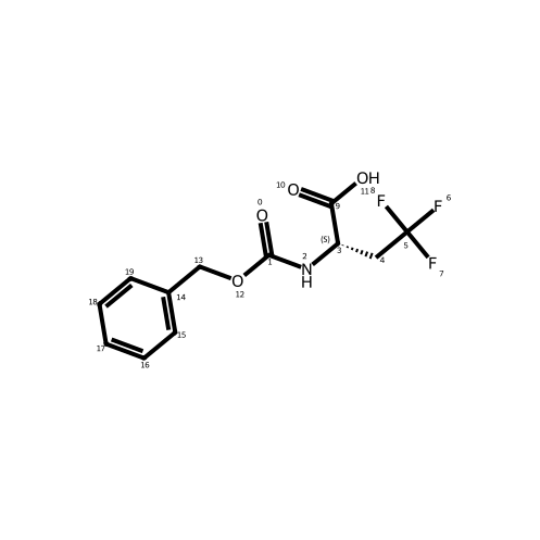 O=C(N[C@@H](CC(F)(F)F)C(=O)O)OCc1ccccc1